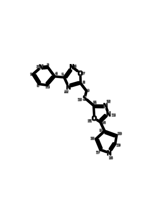 c1cncc(-c2noc(CSc3nnc(-c4ccncc4)o3)n2)c1